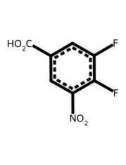 O=C(O)c1cc(F)c(F)c([N+](=O)[O-])c1